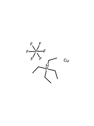 CC[PH](CC)(CC)CC.F[P-](F)(F)(F)(F)F.[Cu]